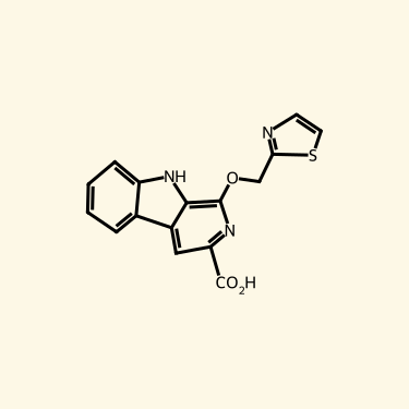 O=C(O)c1cc2c([nH]c3ccccc32)c(OCc2nccs2)n1